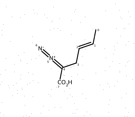 CC=CCC(=[N+]=[N-])C(=O)O